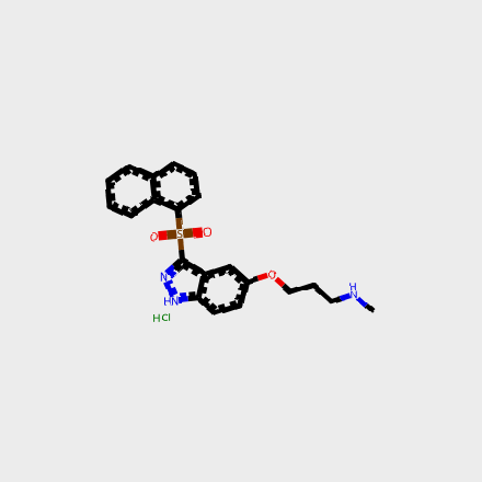 CNCCCOc1ccc2[nH]nc(S(=O)(=O)c3cccc4ccccc34)c2c1.Cl